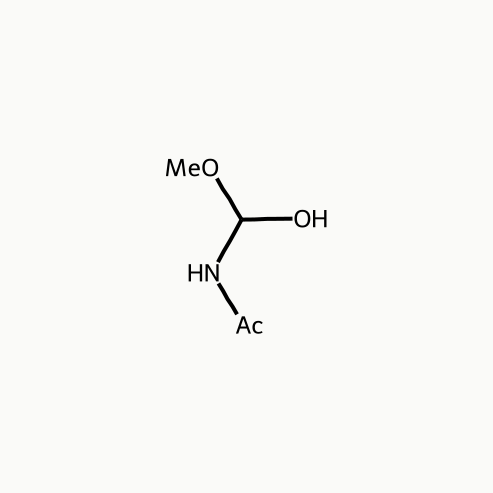 COC(O)NC(C)=O